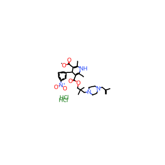 C=C(C)CN1CCN(CC(C)(C)COC(=O)C2=C(C)NC(C)=C(C(=O)OC)C2c2cccc([N+](=O)[O-])c2)CC1.Cl.Cl